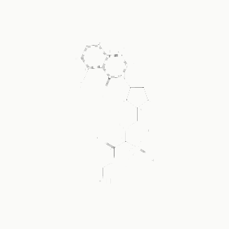 CCOC(=O)C(OCC1CCC(n2cnc3cccc(Br)c3c2=O)C1)P(=O)(O)O